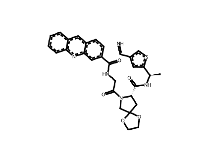 C[C@@H](NC(=O)[C@@H]1CC2(CN1C(=O)CNC(=O)c1ccc3cc4ccccc4nc3c1)OCCO2)c1cc(C=N)cs1